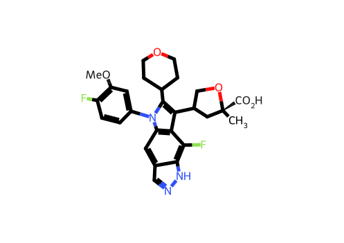 COc1cc(-n2c(C3CCOCC3)c(C3CO[C@@](C)(C(=O)O)C3)c3c(F)c4[nH]ncc4cc32)ccc1F